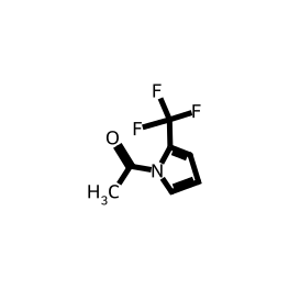 CC(=O)n1cccc1C(F)(F)F